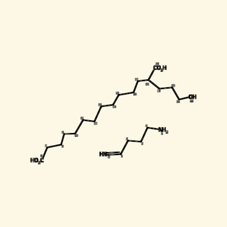 N=CCCCN.O=C(O)CCCCCCCCCCCC(CCCO)C(=O)O